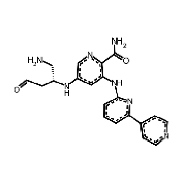 NC[C@@H](CC=O)Nc1cnc(C(N)=O)c(Nc2cccc(-c3ccncc3)n2)c1